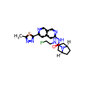 Cc1nnc(-c2cc3cc(NC(=O)N4[C@@H]5CC[C@H]4C[C@H](NCCF)C5)ncc3cn2)s1